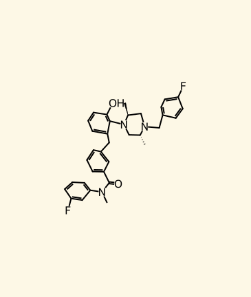 C[C@@H]1CN(c2c(O)cccc2Cc2cccc(C(=O)N(C)c3cccc(F)c3)c2)[C@@H](C)CN1Cc1ccc(F)cc1